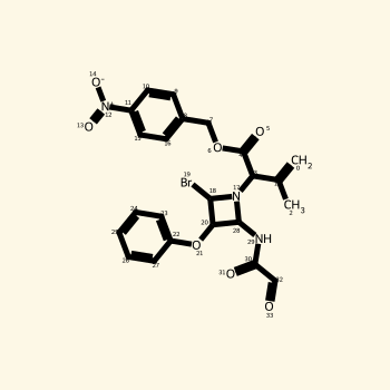 C=C(C)C(C(=O)OCc1ccc([N+](=O)[O-])cc1)N1C(Br)C(Oc2ccccc2)C1NC(=O)C=O